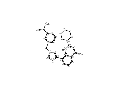 COC(=O)c1cccc(Cn2cc(-c3cccc4c(=O)cc(N5CCOCC5)[nH]c34)nn2)c1